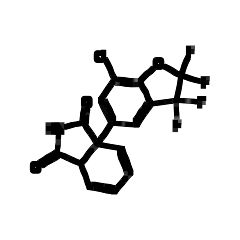 O=C1NC(=O)C2(c3cc(Cl)c4c(c3)C(F)(F)C(F)(F)O4)C=CC=CC12